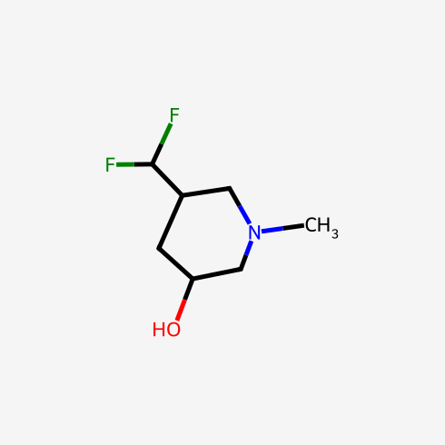 CN1CC(O)CC(C(F)F)C1